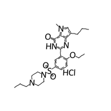 CCCc1cn(C)c2c(=O)[nH]c(-c3cc(S(=O)(=O)N4CCN(CCC)CC4)ccc3OCC)nc12.Cl